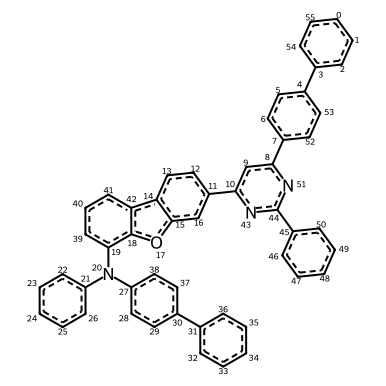 c1ccc(-c2ccc(-c3cc(-c4ccc5c(c4)oc4c(N(c6ccccc6)c6ccc(-c7ccccc7)cc6)cccc45)nc(-c4ccccc4)n3)cc2)cc1